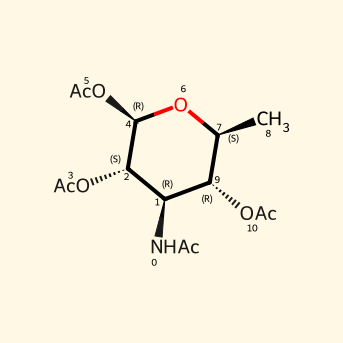 CC(=O)N[C@H]1[C@H](OC(C)=O)[C@@H](OC(C)=O)O[C@@H](C)[C@@H]1OC(C)=O